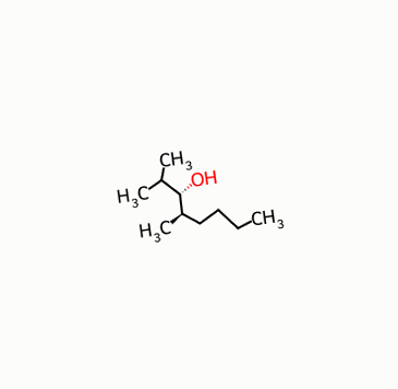 CCCC[C@@H](C)[C@@H](O)C(C)C